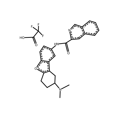 CN(C)C1CCc2oc3ccc(NC(=O)c4cc5ccccc5cn4)cc3c2C1.O=C(O)C(F)(F)F